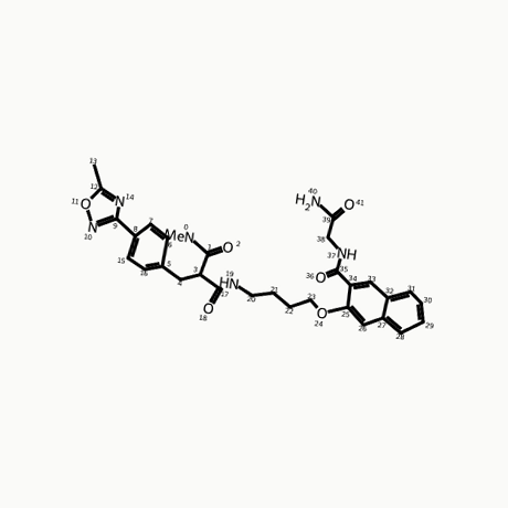 CNC(=O)C(Cc1ccc(-c2noc(C)n2)cc1)C(=O)NCCCCOc1cc2ccccc2cc1C(=O)NCC(N)=O